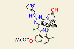 COCOc1cc(-c2nc(OC)c3c(N4CCC[C@@H](O)C4)nc(NC[C@H]4CCCN4C)nc3c2F)c2c(C#C[Si](C(C)C)(C(C)C)C(C)C)c(F)ccc2c1